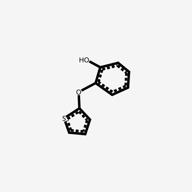 Oc1ccccc1Oc1cccs1